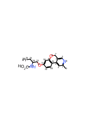 Cc1cc2c(cn1)COc1cc(OCC(CC(C)C)NC(=O)O)ccc1-2